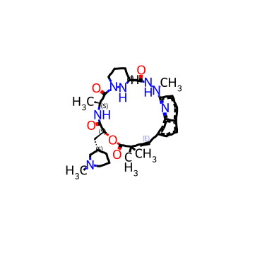 C[C@@H]1NC(=O)[C@H](C[C@@H]2CCCN(C)C2)OC(=O)C(C)(C)/C=C/c2ccc3ccc(nc3c2)N(C)NC(=O)[C@@H]2CCCN(N2)C1=O